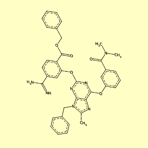 Cc1nc2c(Oc3cccc(C(=O)N(C)C)c3)nc(Oc3cc(C(=N)N)ccc3C(=O)OCc3ccccc3)nc2n1Cc1ccccc1